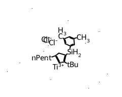 CCCCCC1=[C]([Ti+3])C(C(C)(C)C)=C([SiH2]c2cc(C)cc(C)c2)C1.[Cl-].[Cl-].[Cl-]